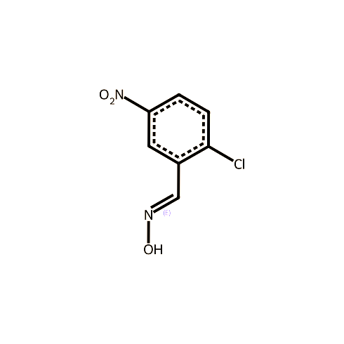 O=[N+]([O-])c1ccc(Cl)c(/C=N/O)c1